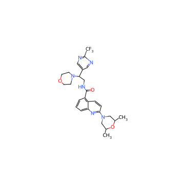 CC1CN(c2ccc3c(C(=O)NCC(c4cnc(C(F)(F)F)nc4)N4CCOCC4)cccc3n2)CC(C)O1